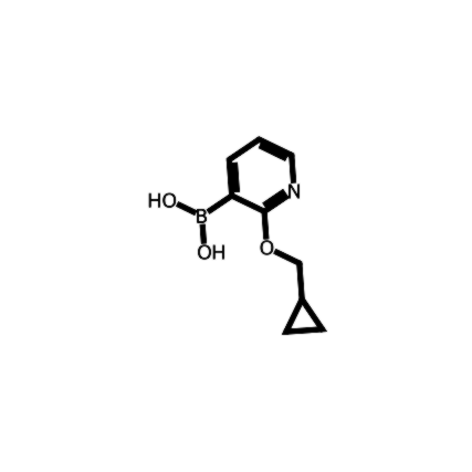 OB(O)c1cccnc1OCC1CC1